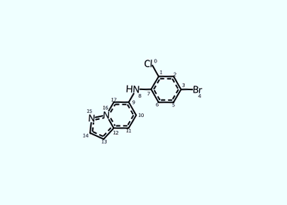 Clc1cc(Br)ccc1Nc1ccc2ccnn2c1